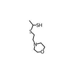 CC(S)SCCN1CCOCC1